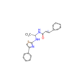 O=C(/C=C/c1ccccc1)NC(Nc1nc(-c2ccccc2)cs1)C(Cl)(Cl)Cl